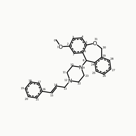 COc1ccc2c(c1)C(N1CCN(CC=Cc3ccccc3)CC1)c1ccccc1CO2